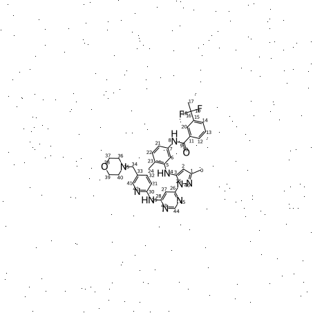 Cc1cc(Nc2cc(NC(=O)c3cccc(C(C)(F)F)c3)ccc2C)n(-c2cc(Nc3ccc(CN4CCOCC4)cn3)ncn2)n1